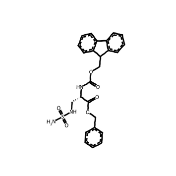 NS(=O)(=O)NC[C@H](NC(=O)OCC1c2ccccc2-c2ccccc21)C(=O)OCc1ccccc1